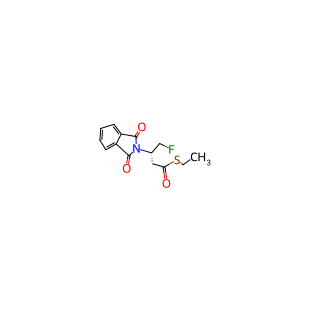 CCSC(=O)C[C@@H](CF)N1C(=O)c2ccccc2C1=O